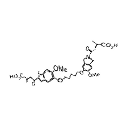 COc1cc2c(cc1OCCCCCOc1cc3cc(C(=O)CC(C)C(=O)O)sc3cc1OC)CN(C(=O)CC(C)C(=O)O)C2